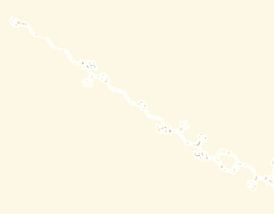 O=CCCCCCNC(=O)OCCCOCCNC(=O)CC(=O)Nc1ccc(CC(=O)N2CCC2=O)cc1